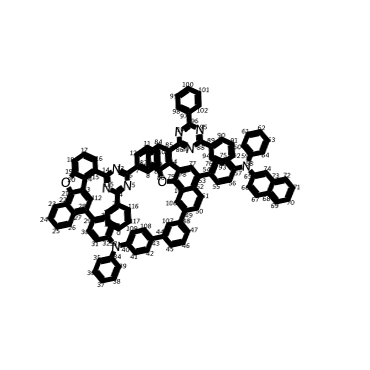 c1ccc(-c2nc(-c3ccccc3)nc(-c3cccc4oc5c6ccccc6c(-c6ccc(N(c7ccccc7)c7ccc(-c8cccc(-c9ccc%10c(-c%11ccc(N(c%12ccccc%12)c%12ccc%13ccccc%13c%12)cc%11)cc%11c(oc%12cccc(-c%13nc(-c%14ccccc%14)nc(-c%14ccccc%14)n%13)c%12%11)c%10c9)c8)cc7)cc6)cc5c34)n2)cc1